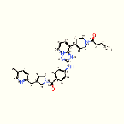 Cc1ccc(CC2CCN(C(=O)c3ccc(Nc4nc5c(C6=CCN(C(=O)CCC(F)(F)F)CC6)cccn5n4)cc3)C2)nc1